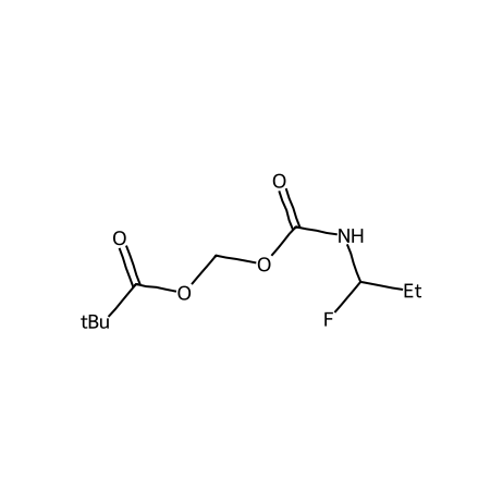 [CH2]CC(F)NC(=O)OCOC(=O)C(C)(C)C